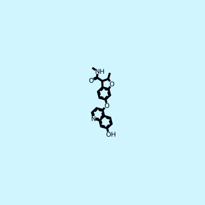 CNC(=O)C1c2ccc(Oc3ccnc4cc(O)ccc34)cc2OC1C